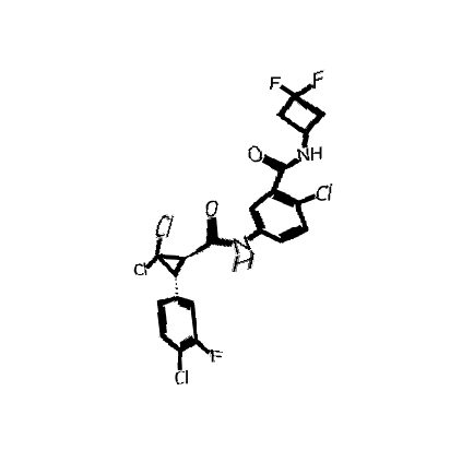 O=C(NC1CC(F)(F)C1)c1cc(NC(=O)[C@H]2[C@H](c3ccc(Cl)c(F)c3)C2(Cl)Cl)ccc1Cl